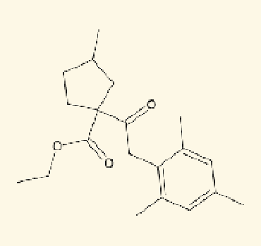 CCOC(=O)C1(C(=O)Cc2c(C)cc(C)cc2C)CCC(C)C1